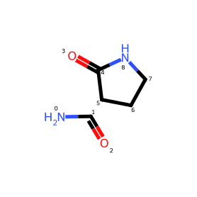 NC=O.O=C1CCCN1